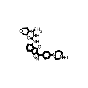 CCN1CCCN(c2ccc(C3=C4C(=O)c5c(NC(=O)NN(C)C6CCOCC6)cccc5C4N=N3)cc2)CC1